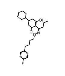 CCCC(=NOCCCCc1ccc(F)cc1)C1=C(O)CC(C2CCCSC2)CC1=O